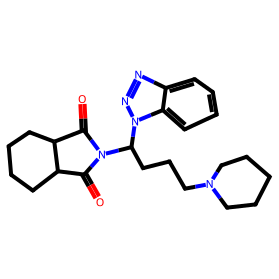 O=C1C2CCCCC2C(=O)N1C(CCCN1CCCCC1)n1nnc2ccccc21